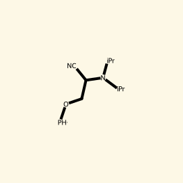 CC(C)N(C(C)C)C(C#N)CO[PH]